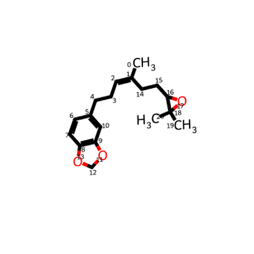 CC(=CCCc1ccc2c(c1)OCO2)CCC1OC1(C)C